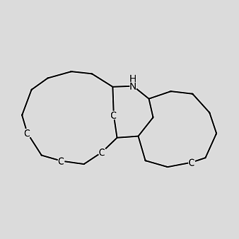 C1CCCCCC2CC(CCCC1)NC1CCCCCCCCC2C1